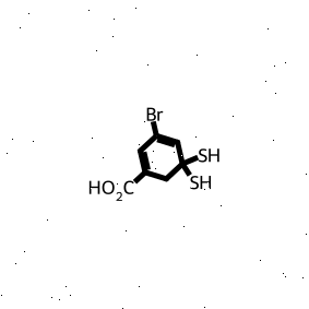 O=C(O)C1=CC(Br)=CC(S)(S)C1